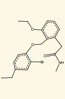 CCOc1cccc(CC(=O)NC)c1COc1ccc(CC)cc1Br